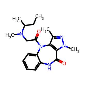 CCC(C)N(C)CC(=O)N1c2ccccc2NC(=O)c2c1c(C)nn2C